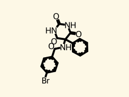 O=C1NC(=O)C(NC(=O)c2ccc(Br)cc2)(c2ccccc2)C(=O)N1